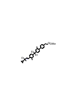 CCC(CC)(c1ccc(/C=C/C(C)(CC)C2CC2)c(C)c1)c1ccc(-c2ccc(CCOOC)cc2)c(C)c1